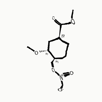 COC(=O)[C@H]1CC[C@@H](O[N+](=O)[O-])[C@H](OC)C1